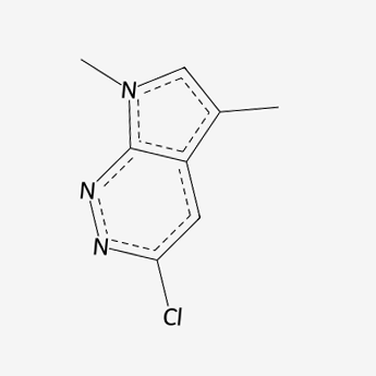 Cc1cn(C)c2nnc(Cl)cc12